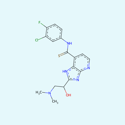 CN(C)CC(O)c1nc2nccc(C(=S)Nc3ccc(F)c(Cl)c3)c2[nH]1